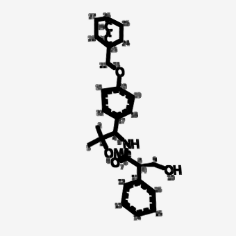 COC(C)(C)C(NC(=O)[C@@H](CO)c1ccccc1)c1ccc(OCC23CCC(CC2)CC3)cc1